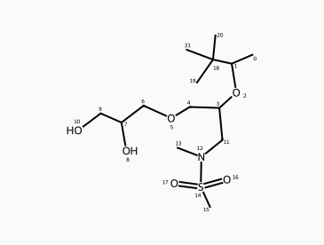 CC(OC(COCC(O)CO)CN(C)S(C)(=O)=O)C(C)(C)C